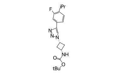 CC(C)c1ccc(-c2cn([C@H]3C[C@@H](NC(=O)OC(C)(C)C)C3)nn2)cc1F